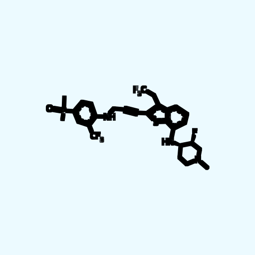 CN1CC[C@@H](Nc2cccc3c(CC(F)(F)F)c(C#CCNc4ccc(P(C)(C)=O)cc4C(F)(F)F)sc23)[C@@H](F)C1